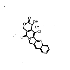 CC[C@@]1(O)C(=O)OCc2c1c(Cl)c1n(c2=O)Cc2cc3ccccc3nc2-1